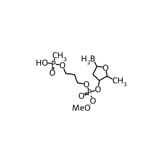 BC1CC(OP(=O)(OCCCOP(C)(=O)O)OOC)C(C)O1